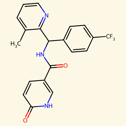 Cc1cccnc1C(NC(=O)c1ccc(=O)[nH]c1)c1ccc(C(F)(F)F)cc1